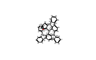 c1ccc(-n2c3ccccc3c3cc4c5ccccc5n5c4c(c32)B2c3ccccc3-n3c4ccccc4c4ccc-5c2c43)cc1